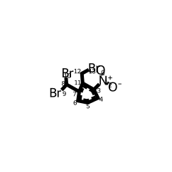 O=[N+]([O-])c1cccc(C(Br)Br)c1CBr